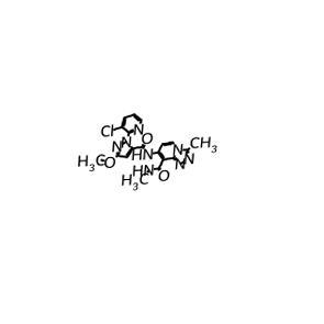 CNC(=O)c1c(NC(=O)c2cc(OC)nn2-c2ncccc2Cl)ccn2c(C)nnc12